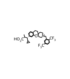 C[C@H](C(=O)O)[C@H](c1ccc2c(c1)OC1(CC2)CCN(Cc2cc(C(F)(F)F)ccc2C(F)(F)F)CC1)C1CC1